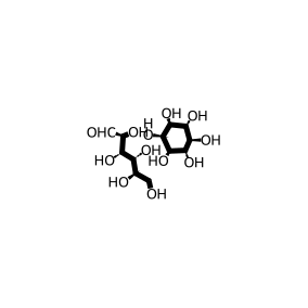 O=C[C@@H](O)[C@@H](O)[C@H](O)[C@H](O)CO.O[C@H]1[C@H](O)[C@@H](O)[C@H](O)[C@@H](O)[C@H]1O